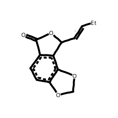 CC/C=C/C1OC(=O)c2ccc3c(c21)OCO3